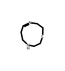 C1=NCCCCCNCC1